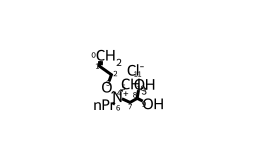 C=CCO[N+](C)(CCC)CC(O)O.[Cl-]